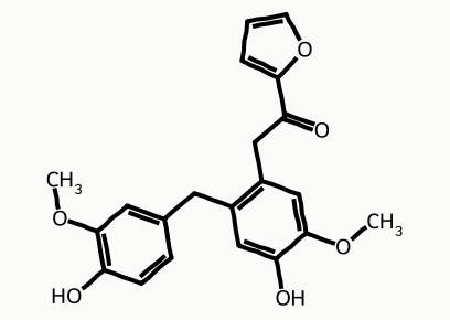 COc1cc(Cc2cc(O)c(OC)cc2CC(=O)c2ccco2)ccc1O